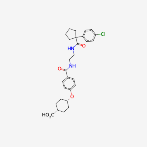 O=C(NCCNC(=O)C1(c2ccc(Cl)cc2)CCCC1)c1ccc(O[C@H]2CC[C@@H](C(=O)O)CC2)cc1